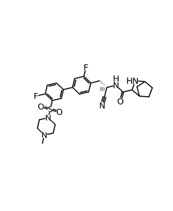 CN1CCN(S(=O)(=O)c2cc(-c3ccc(C[C@@H](C#N)NC(=O)C4NC5CCC4C5)c(F)c3)ccc2F)CC1